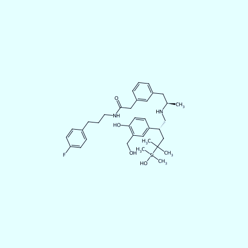 C[C@H](Cc1cccc(CC(=O)NCCCc2ccc(F)cc2)c1)NC[C@H](CC(C)(C)[Si](C)(C)O)c1ccc(O)c(CO)c1